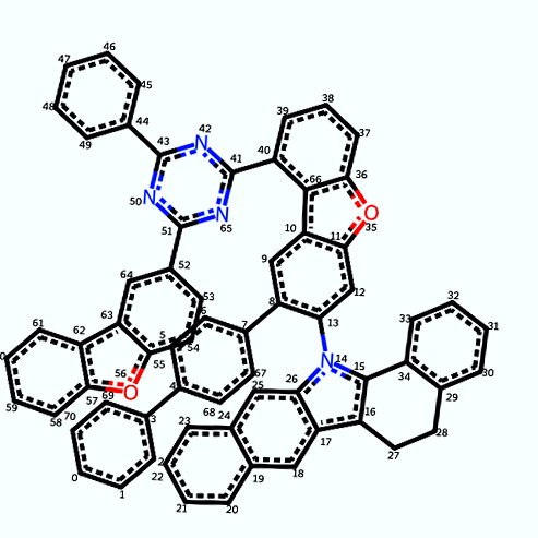 c1ccc(-c2ccc(-c3cc4c(cc3-n3c5c(c6cc7ccccc7cc63)CCc3ccccc3-5)oc3cccc(-c5nc(-c6ccccc6)nc(-c6ccc7oc8ccccc8c7c6)n5)c34)cc2)cc1